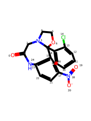 O=C1CN2CCOC2(c2ccccc2Cl)c2cc([N+](=O)[O-])ccc2N1